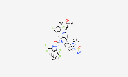 Cc1ccc(-c2ccc(C#CC(C)(C)O)nc2[C@H](Cc2cc(F)cc(F)c2)NC(=O)Cn2nc(C(F)F)c3c2C(F)(F)[C@@H]2C=C[C@H]32)c2c1c(N[S+](N)[O-])nn2C